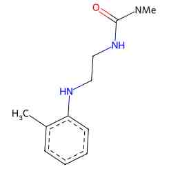 CNC(=O)NCCNc1ccccc1C